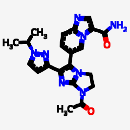 CC(=O)N1CCn2c1nc(-c1ccn(C(C)C)n1)c2-c1ccc2ncc(C(N)=O)n2c1